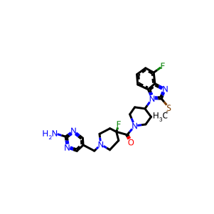 CSc1nc2c(F)cccc2n1C1CCN(C(=O)C2(F)CCN(Cc3cnc(N)nc3)CC2)CC1